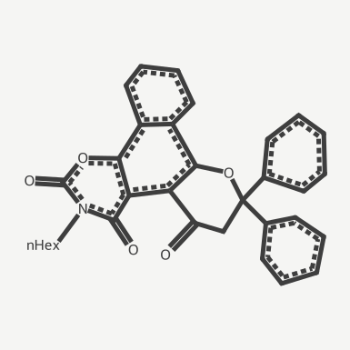 CCCCCCn1c(=O)oc2c(c3c(c4ccccc42)OC(c2ccccc2)(c2ccccc2)CC3=O)c1=O